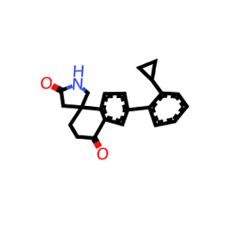 O=C1CC2(CCC(=O)c3cc(-c4ccccc4C4CC4)ccc32)CN1